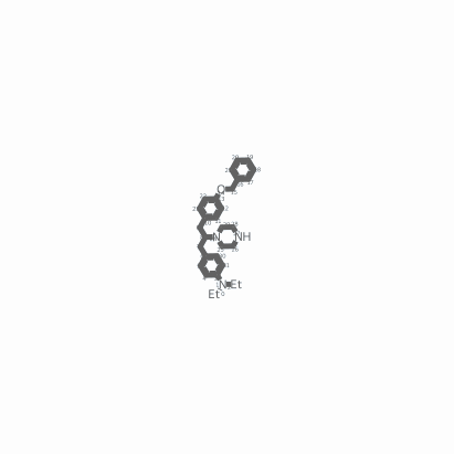 CCN(CC)c1ccc(CC(Cc2ccc(OCc3ccccc3)cc2)N2CCNCC2)cc1